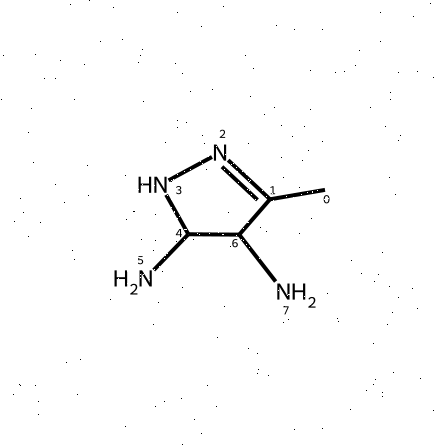 CC1=NNC(N)C1N